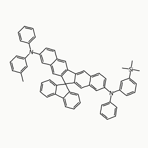 Cc1cccc(N(c2ccccc2)c2ccc3cc4c(cc3c2)C2(c3ccccc3-c3ccccc32)c2cc3cc(N(c5ccccc5)c5cccc([Si](C)(C)C)c5)ccc3cc2-4)c1